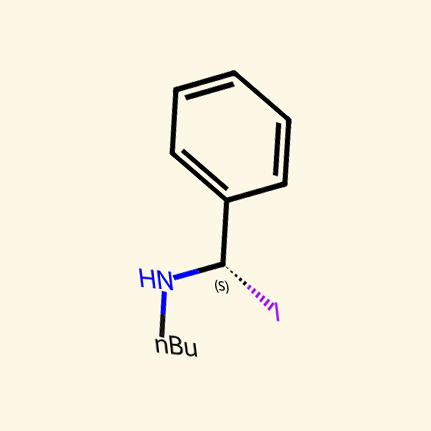 CCCCN[C@@H](I)c1ccccc1